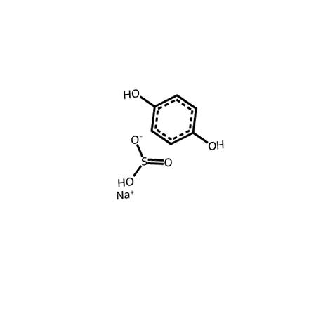 O=S([O-])O.Oc1ccc(O)cc1.[Na+]